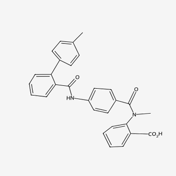 Cc1ccc(-c2ccccc2C(=O)Nc2ccc(C(=O)N(C)c3ccccc3C(=O)O)cc2)cc1